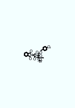 COc1ccc(COC(=O)C(OC(C)=O)(N2CC(N3C(=O)c4ccccc4C3=O)C2=O)C(C)(C)SBr)cc1